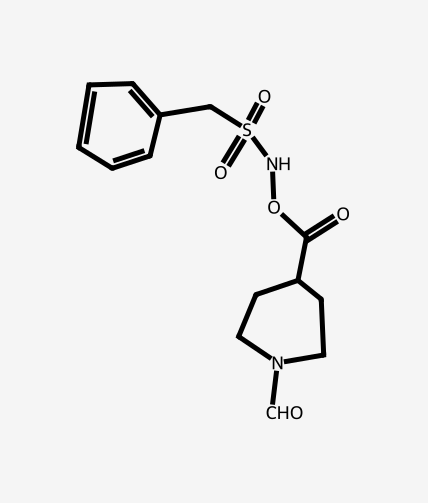 O=CN1CCC(C(=O)ONS(=O)(=O)Cc2ccccc2)CC1